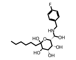 CCCCCC[C@]1(O)O[C@H](C(O)NCc2ccc(F)cc2)[C@H](O)[C@H](O)[C@H]1O